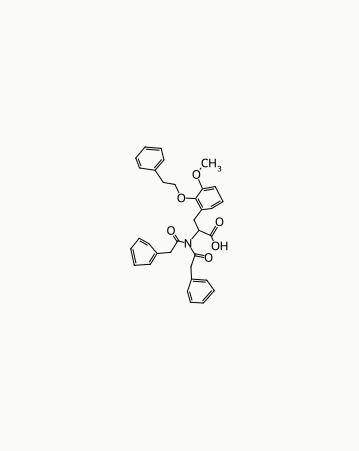 COc1cccc(CC(C(=O)O)N(C(=O)Cc2ccccc2)C(=O)Cc2ccccc2)c1OCCc1ccccc1